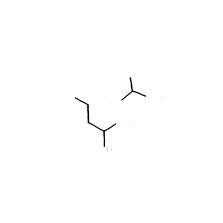 CCCCCCCCCC(C)C(=O)O.CCCCCCCCCCCCC(CCC)C(=O)O